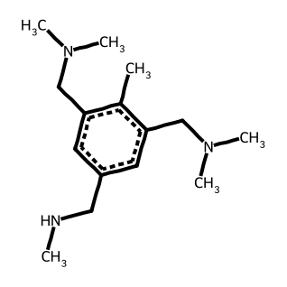 CNCc1cc(CN(C)C)c(C)c(CN(C)C)c1